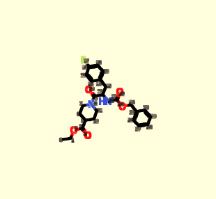 CCOC(=O)C1CCN(C(=O)C(Cc2ccc(F)cc2)NC(=O)OCc2ccccc2)CC1